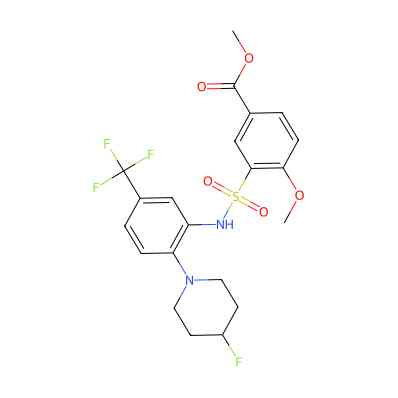 COC(=O)c1ccc(OC)c(S(=O)(=O)Nc2cc(C(F)(F)F)ccc2N2CCC(F)CC2)c1